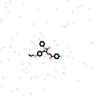 C=CCOc1ccc(C2C(CCC(=O)c3ccc(F)cc3)C(=O)N2c2ccc(F)cc2)cc1